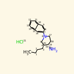 CCCC[C@H]1CN(c2ccc3ccccc3c2)CC[C@@H]1N.Cl